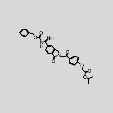 CC(C)OC(=O)COc1ccc(C(=O)CN2Cc3cc(C(=N)NC(=O)OCc4ccccc4)ccc3C2=O)cc1